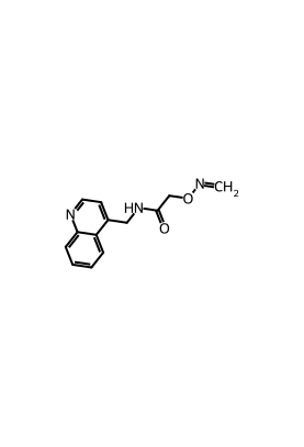 C=NOCC(=O)NCc1ccnc2ccccc12